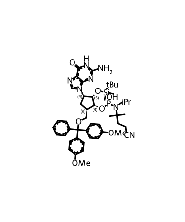 COc1ccc(C(OC[C@H]2C[C@@H](n3cnc4c(=O)[nH]c(N)nc43)[C@H](O[Si](C)(C)C(C)(C)C)[C@@H]2OP(O)N(C(C)C)C(C)(C)CCC#N)(c2ccccc2)c2ccc(OC)cc2)cc1